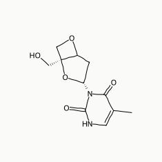 Cc1c[nH]c(=O)n([C@H]2CC3OC[C@]3(CO)O2)c1=O